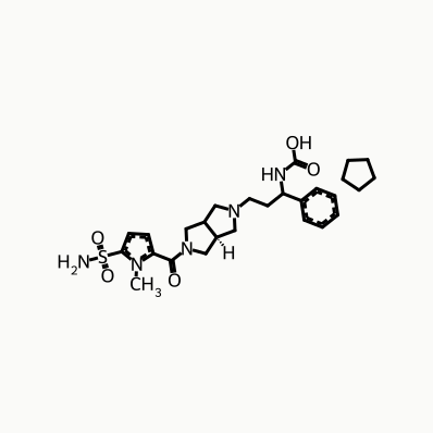 C1CCCC1.Cn1c(C(=O)N2CC3CN(CCC(NC(=O)O)c4ccccc4)C[C@H]3C2)ccc1S(N)(=O)=O